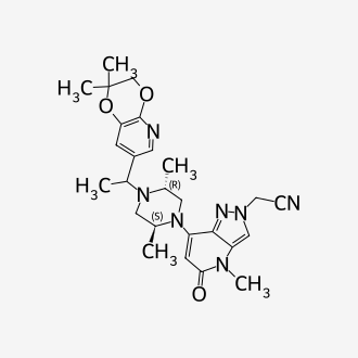 CC(c1cnc2c(c1)OC(C)(C)CO2)N1C[C@H](C)N(c2cc(=O)n(C)c3cn(CC#N)nc23)C[C@H]1C